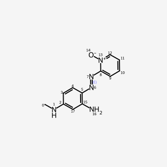 CNc1ccc(/N=N/c2cccc[n+]2[O-])c(N)c1